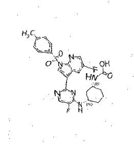 Cc1ccc(S(=O)(=O)n2cc(-c3ncc(F)c(N[C@H]4CCC[C@@H](NC(=O)O)C4)n3)c3cc(F)cnc32)cc1